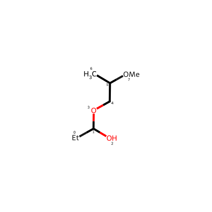 CCC(O)OCC(C)OC